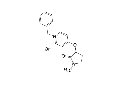 CN1CCC(Oc2cc[n+](Cc3ccccc3)cc2)C1=O.[Br-]